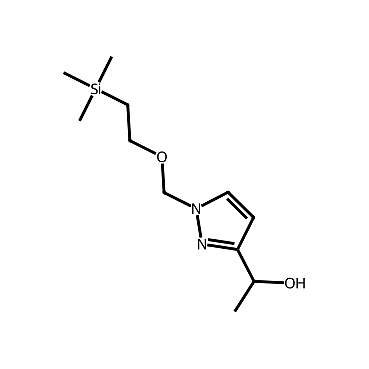 CC(O)c1ccn(COCC[Si](C)(C)C)n1